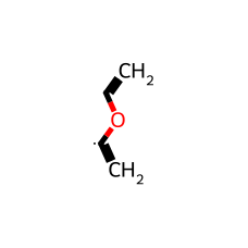 C=[C]OC=C